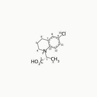 C[C@H](C(=O)O)N1CCCc2cc(Cl)ccc21